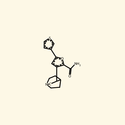 NC(=O)c1oc(-c2ccsc2)cc1C1CN2CCC1CC2